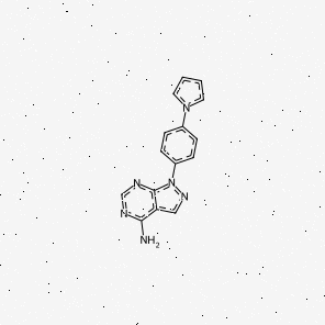 Nc1ncnc2c1cnn2-c1ccc(-n2cccc2)cc1